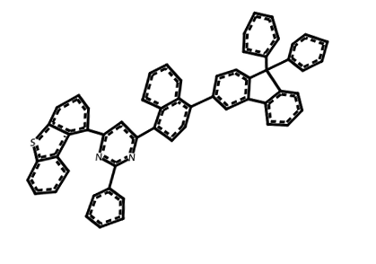 c1ccc(-c2nc(-c3ccc(-c4ccc5c(c4)-c4ccccc4C5(c4ccccc4)c4ccccc4)c4ccccc34)cc(-c3cccc4sc5ccccc5c34)n2)cc1